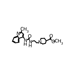 COC(=O)C1CCN(CCNC(=O)Nc2cc(C)nc3ccccc23)CC1